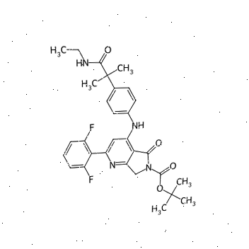 CCNC(=O)C(C)(C)c1ccc(Nc2cc(-c3c(F)cccc3F)nc3c2C(=O)N(C(=O)OC(C)(C)C)C3)cc1